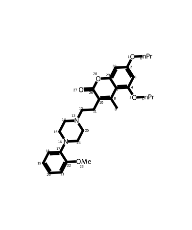 CCCOc1cc(OCCC)c2c(C)c(CCN3CCN(c4ccccc4OC)CC3)c(=O)oc2c1